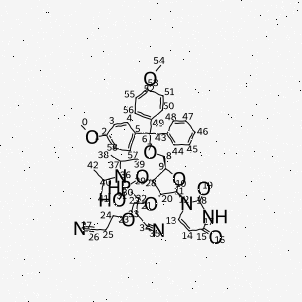 COc1ccc(C(OC[C@H]2O[C@@H](n3ccc(=O)[nH]c3=O)[C@H](OCOCCC#N)[C@@H]2O[PH](O)(CCC#N)N(C(C)C)C(C)C)(c2ccccc2)c2ccc(OC)cc2)cc1